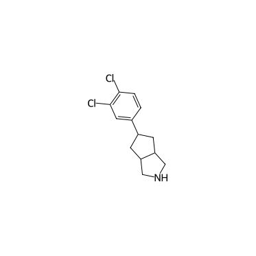 Clc1ccc(C2CC3CNCC3C2)cc1Cl